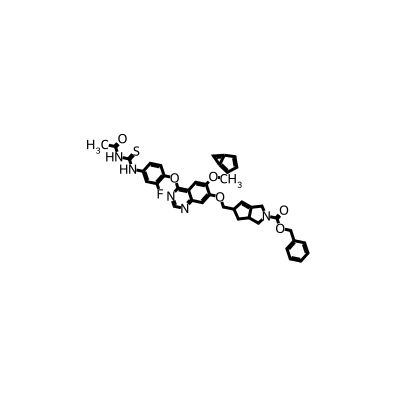 COc1cc2c(Oc3ccc(NC(=S)NC(C)=O)cc3F)ncnc2cc1OCC1C=C2CN(C(=O)OCc3ccccc3)CC2C1.c1cc2cc-2c1